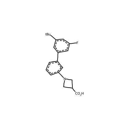 CC(C)(C)c1cc(F)cc(-c2cccc(N3CC(C(=O)O)C3)c2)c1